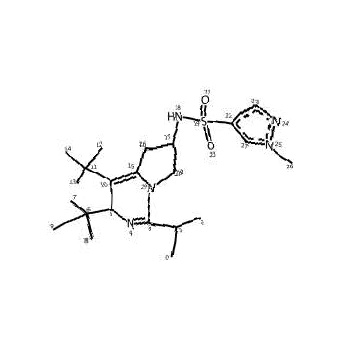 CC(C)C1=NC(C(C)(C)C)C(C(C)(C)C)=C2CC(NS(=O)(=O)c3cnn(C)c3)CN12